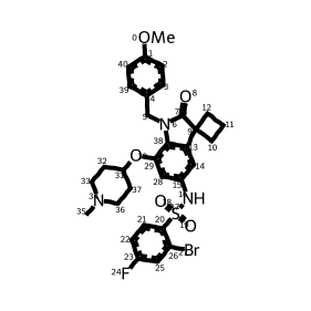 COc1ccc(CN2C(=O)C3(CCC3)c3cc(NS(=O)(=O)c4ccc(F)cc4Br)cc(OC4CCN(C)CC4)c32)cc1